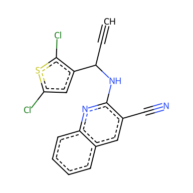 C#CC(Nc1nc2ccccc2cc1C#N)c1cc(Cl)sc1Cl